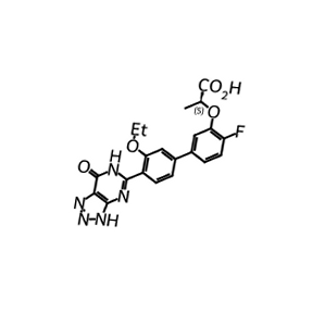 CCOc1cc(-c2ccc(F)c(O[C@@H](C)C(=O)O)c2)ccc1-c1nc2[nH]nnc2c(=O)[nH]1